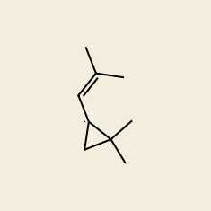 CC(C)=C[C]1CC1(C)C